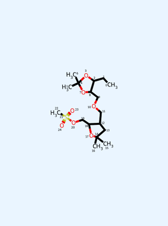 CCC1OC(C)(C)OC1COCC1CC(C)(C)OC1COS(C)(=O)=O